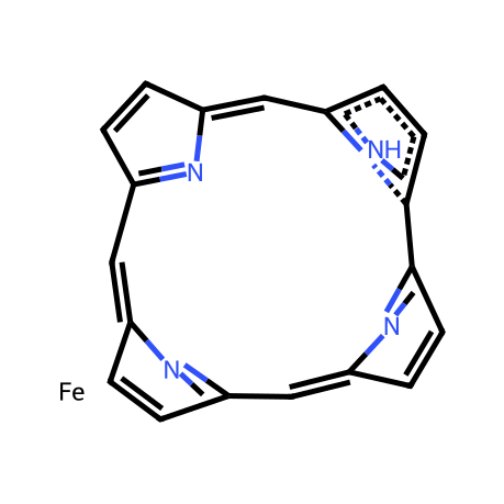 C1=CC2=NC1=Cc1ccc([nH]1)C1=NC(=CC3=NC(=C2)C=C3)C=C1.[Fe]